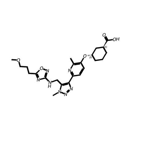 COCCCc1nc(NCc2c(-c3ccc(O[C@H]4CCC[C@H](C(=O)O)C4)c(C)n3)nnn2C)no1